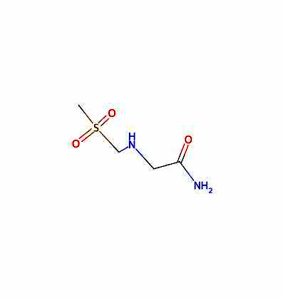 CS(=O)(=O)CNCC(N)=O